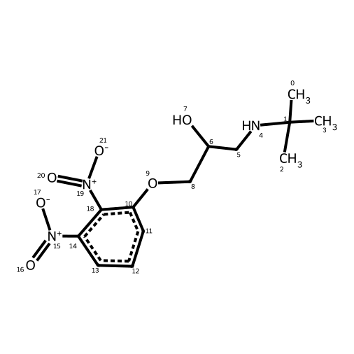 CC(C)(C)NCC(O)COc1cccc([N+](=O)[O-])c1[N+](=O)[O-]